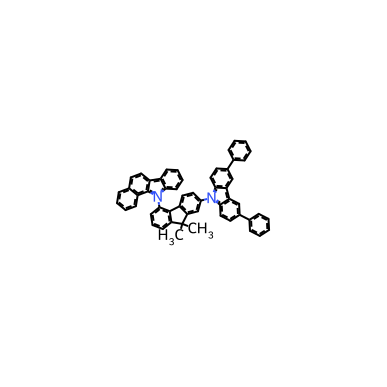 CC1(C)c2cc(-n3c4ccc(-c5ccccc5)cc4c4cc(-c5ccccc5)ccc43)ccc2-c2c(-n3c4ccccc4c4ccc5ccccc5c43)cccc21